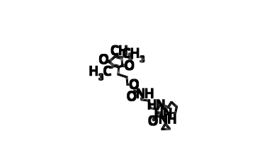 CC1=C(C)C(=O)C(CCCOC(=O)NCCCC(N[C@H]2CCCN2)C(=O)NC2CC2)=C(C)C1=O